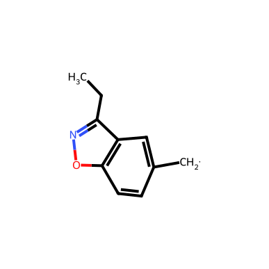 [CH2]c1ccc2onc(CC)c2c1